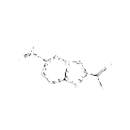 CC(=O)c1cn2cc([N+](=O)[O-])ccc2n1